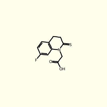 O=C(O)CN1C(=S)CCc2ccc(F)cc21